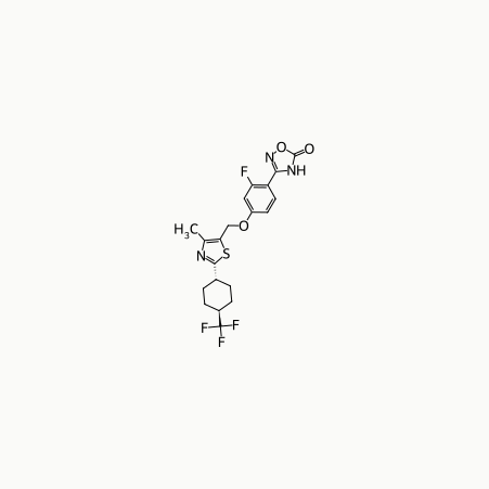 Cc1nc([C@H]2CC[C@H](C(F)(F)F)CC2)sc1COc1ccc(-c2noc(=O)[nH]2)c(F)c1